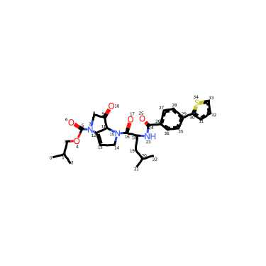 CC(C)COC(=O)N1CC(=O)C2C1=CCN2C(=O)C(CC(C)C)NC(=O)c1ccc(-c2cccs2)cc1